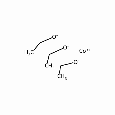 CC[O-].CC[O-].CC[O-].[Co+3]